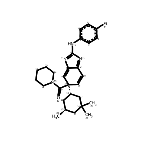 CCc1ccc(NC2=NC3=CC(C(=O)N4CCCCC4)([C@H]4C[C@H](C)CC(C)(C)C4)C=CC3=N2)cc1